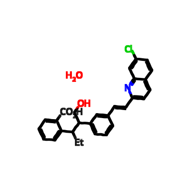 CCC(c1ccccc1C(=O)O)C(CO)c1cccc(C=Cc2ccc3ccc(Cl)cc3n2)c1.O